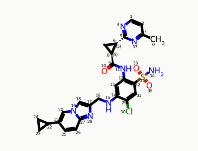 Cc1ccnc([C@H]2C[C@@H]2C(=O)Nc2cc(NCc3cn4cc(C5CC5)ccc4n3)c(Cl)cc2S(N)(=O)=O)n1